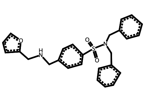 O=S(=O)(c1ccc(CNCc2ccco2)cc1)N(Cc1ccccc1)Cc1ccccc1